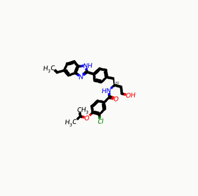 CCc1ccc2[nH]c(-c3ccc(C[C@@H](CCO)NC(=O)c4ccc(OC(C)C)c(Cl)c4)cc3)nc2c1